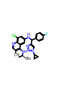 C[C@@H](Nc1c(C#N)cnc2c(Cl)cc(NC(c3ccc(F)cc3)c3cn(C4CC4)nn3)cc12)C(C)(C)C